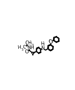 CC(C)NC(=O)C1CC1c1ccc(NCc2cccc(Oc3ccccc3)c2)cc1